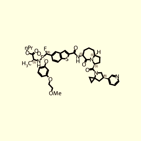 CCCOC(=O)[C@H](C)NP(=O)(Oc1cccc(OCCOC)c1)[C@@H](F)c1ccc2sc(C(=O)N[C@H]3CCC[C@H]4CC[C@@H](C(=O)N5C[C@@H](c6cccnc6)CC56CC6)N4C3=O)cc2c1